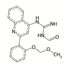 COCOc1ccccc1-c1cc(NC(=N)NC=O)c2ccccc2n1